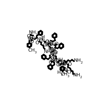 Cc1ccc(CS(=O)(=O)N(CC(N)=O)CC(Cc2ccccc2)NC(=O)C(CCCCN)NC(=O)CN(CC(Cc2ccccc2)NC(=O)C(Cc2ccccc2)NC(=O)CN(CC(Cc2ccccc2)NC(=O)C(Cc2ccccc2)NC(=O)CN(CC(CCCCN)NC(=O)C(CCCCN)NC(C)C)S(=O)(=O)c2ccc(C)cc2)S(=O)(=O)CCN)S(=O)(=O)CCN)cc1